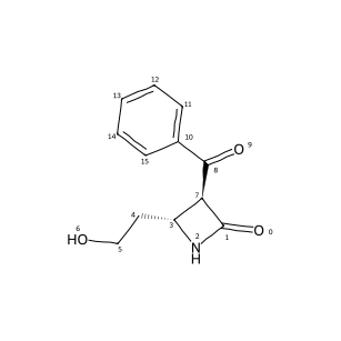 O=C1N[C@H](CCO)[C@H]1C(=O)c1ccccc1